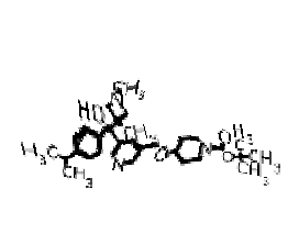 CC(C)c1ccc(C(O)(c2cncc(COC3CCN(C(=O)OC(C)(C)C)CC3)c2)C2(C)CN(C)C2)cc1